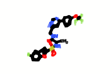 CC(NS(=O)(=O)c1cc2cc(F)ccc2o1)C(=O)NCc1cc(-c2ccc(OC(F)(F)F)cc2)ncn1